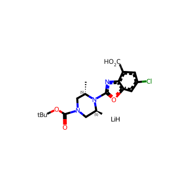 C[C@H]1CN(C(=O)OC(C)(C)C)C[C@H](C)N1c1nc2c(C(=O)O)cc(Cl)cc2o1.[LiH]